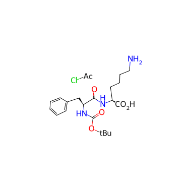 CC(=O)Cl.CC(C)(C)OC(=O)N[C@@H](Cc1ccccc1)C(=O)N[C@@H](CCCCN)C(=O)O